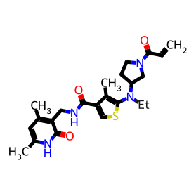 C=CC(=O)N1CCC(N(CC)c2scc(C(=O)NCc3c(C)cc(C)[nH]c3=O)c2C)C1